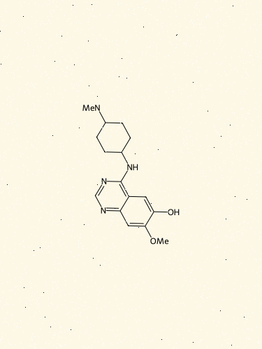 CNC1CCC(Nc2ncnc3cc(OC)c(O)cc23)CC1